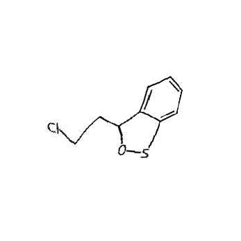 ClCCC1OSc2ccccc21